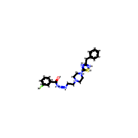 O=C(N=[N+]=NCCN1CCN(c2nc(Cc3ccccc3)ns2)CC1)c1cccc(F)c1